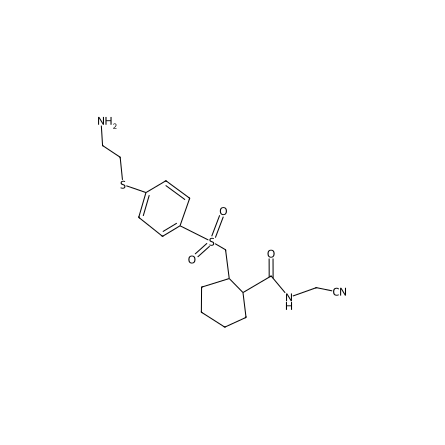 N#CCNC(=O)C1CCCCC1CS(=O)(=O)c1ccc(SCCN)cc1